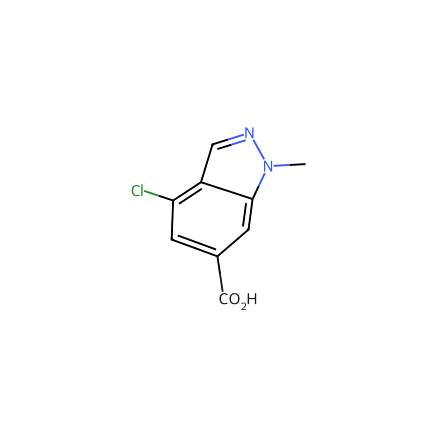 Cn1ncc2c(Cl)cc(C(=O)O)cc21